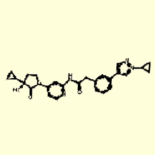 N#C[C@@]1(C2CC2)CCN(c2ccnc(NC(=O)Cc3cccc(-c4cnn(C5CC5)c4)c3)c2)C1=O